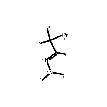 C/C(=N\N(C)C)C(C)(C)C(C)C